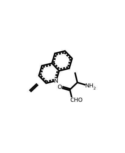 C=C.CC(N)C(=O)C=O.c1ccc2ncccc2c1